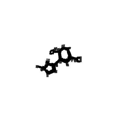 Cn1[c]cc(-c2cc(Cl)ccc2Cl)n1